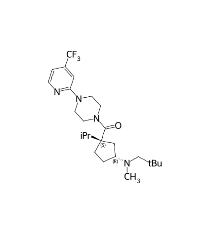 CC(C)[C@]1(C(=O)N2CCN(c3cc(C(F)(F)F)ccn3)CC2)CC[C@@H](N(C)CC(C)(C)C)C1